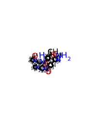 CC(Oc1cc(-c2ccc(C(=O)N3CCC(N4CCCC4)CC3)cc2)cnc1N)c1ccc(C(=O)NCCCN2CCCC2=O)cc1